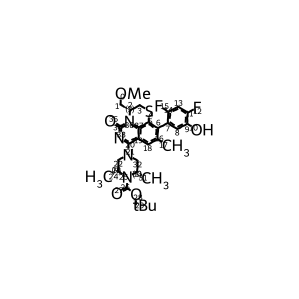 COC[C@H]1CSc2c(-c3cc(O)c(F)cc3F)c(C)cc3c(N4C[C@@H](C)N(C(=O)OC(C)(C)C)[C@@H](C)C4)nc(=O)n1c23